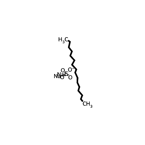 CCCCCCCCCCCCCCCC.O=S(=O)([O-])[O-].[Na+].[Na+]